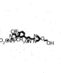 C[C@@]1(c2cc(-c3cc(-c4ncc(OCCO)cn4)no3)ccc2F)C[C@@H](C(F)(F)F)N=C(NC(=O)O)O1